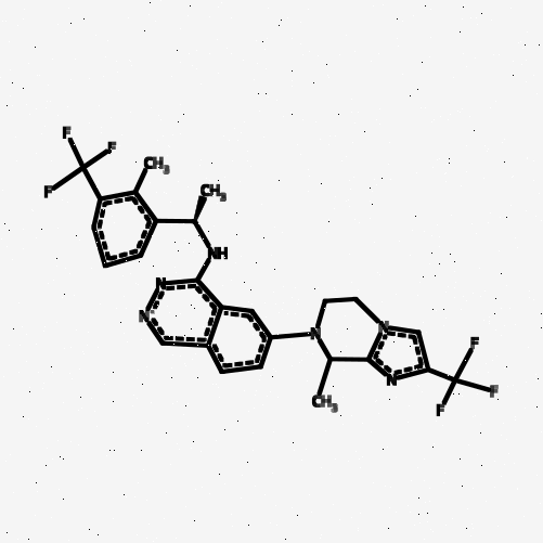 Cc1c([C@@H](C)Nc2nncc3ccc(N4CCn5cc(C(F)(F)F)nc5C4C)cc23)cccc1C(F)(F)F